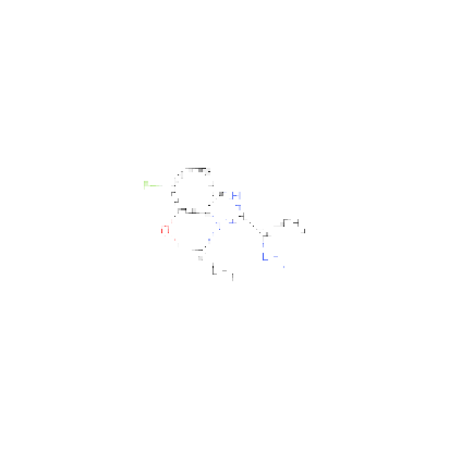 C[C@H](N)c1nc2ccc(F)c3c2n1[C@H](C)CO3